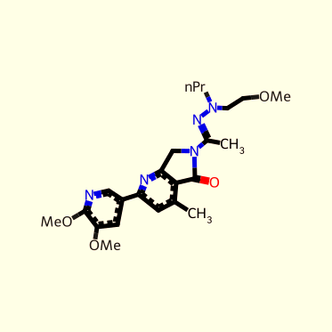 CCCN(CCOC)/N=C(\C)N1Cc2nc(-c3cnc(OC)c(OC)c3)cc(C)c2C1=O